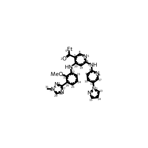 CCC(=O)c1cnc(Nc2ccc(-n3cccn3)cn2)cc1Nc1cccc(-c2ncn(C)n2)c1OC